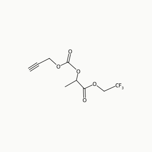 C#CCOC(=O)OC(C)C(=O)OCC(F)(F)F